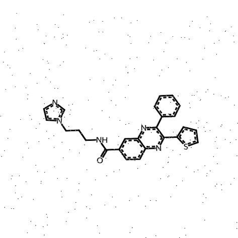 O=C(NCCCn1ccnc1)c1ccc2nc(-c3cccs3)c(-c3ccccc3)nc2c1